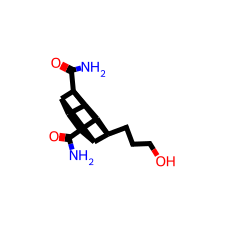 NC(=O)C12C3C4C1C1(CCCO)C2C3C41C(N)=O